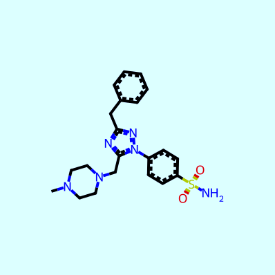 CN1CCN(Cc2nc(Cc3ccccc3)nn2-c2ccc(S(N)(=O)=O)cc2)CC1